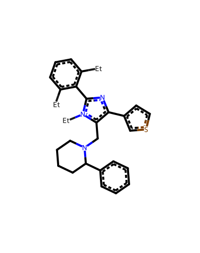 CCc1cccc(CC)c1-c1nc(-c2ccsc2)c(CN2CCCCC2c2ccccc2)n1CC